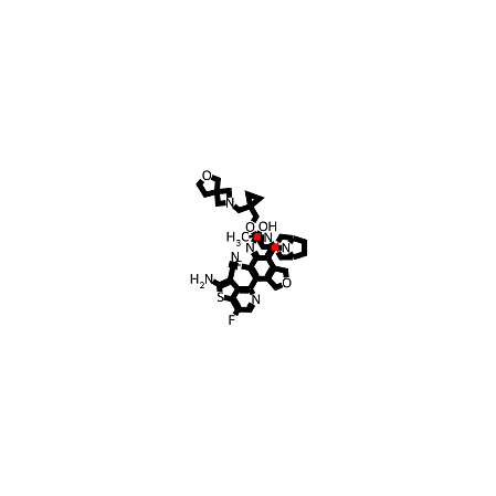 C[C@@H](O)CN1CC2CCC(C1)N2c1nc(OCC2(CN3CC4(CCOC4)C3)CC2)nc2c(F)c(-c3ncc(F)c4sc(N)c(C#N)c34)c3c(c12)COC3